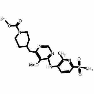 COc1c(CC2CCN(C(=O)OC(C)C)CC2)ncnc1Nc1ccc(S(C)(=O)=O)nc1C